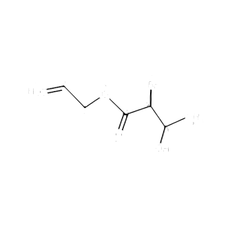 C=CCOC(=O)C(Br)C(C)O